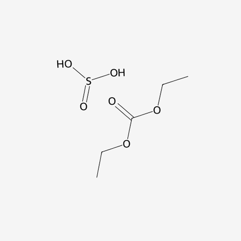 CCOC(=O)OCC.O=S(O)O